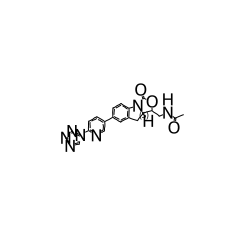 CC(=O)NCC1OC(=O)N2c3ccc(-c4ccc(-n5cnnn5)nc4)cc3C[C@@H]12